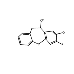 OC1Cc2ccccc2Sc2cc(F)c(Cl)cc21